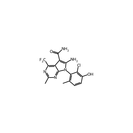 Cc1nc(C(F)(F)F)c2c(C(N)=O)c(N)n(-c3c(C)ccc(O)c3Cl)c2n1